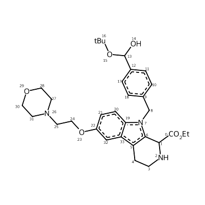 CCOC(=O)C1NCCc2c1n(Cc1ccc(C(O)OC(C)(C)C)cc1)c1ccc(OCCN3CCOCC3)cc21